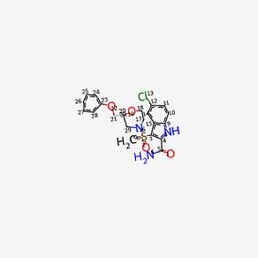 C=S(=O)(c1c(C(N)=O)[nH]c2ccc(Cl)cc12)N1CCO[C@@H](COc2ccccc2)C1